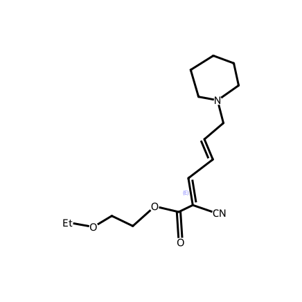 CCOCCOC(=O)/C(C#N)=C/C=CCN1CCCCC1